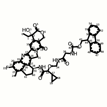 CC[C@@]1(O)C(=O)OCc2c1cc1n(c2=O)Cc2c-1nc1cc(F)c(C)c3c1c2[C@@H](NC(=O)C(OCNC(=O)CNC(=O)OCC1c2ccccc2-c2ccccc21)C1CC1)CC3